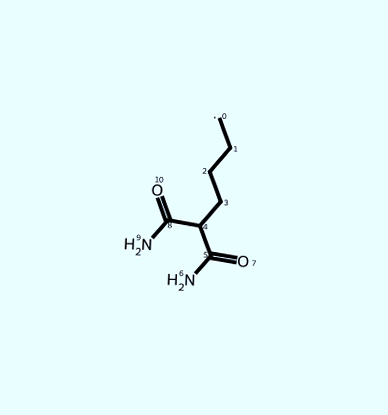 [CH2]CCCC(C(N)=O)C(N)=O